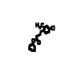 Cc1cc(Cl)ccc1CCCC(=O)Oc1ccccc1